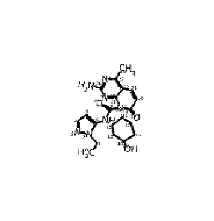 CCn1nccc1NC(=O)[N+]1([C@H]2CC[C@H](O)CC2)C(=O)C=Cc2c(C)nc(N)nc21